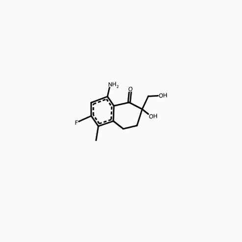 Cc1c(F)cc(N)c2c1CCC(O)(CO)C2=O